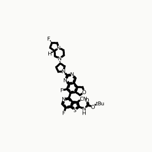 CC(C)(C)OC(=O)Nc1sc2c(F)cnc(-c3c4c(c5cnc(N6CC[C@H](N7CCN8C[C@@H](F)C[C@H]8C7)C6)nc5c3F)COC4)c2c1C#N